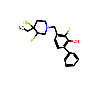 N#CCC1(S)CCN(Cc2ccc(-c3ccccc3)c(O)c2F)CC1F